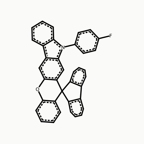 Fc1ccc(-n2c3ccccc3c3cc4c(cc32)C2(c3ccccc3O4)c3ccccc3-c3ccccc32)cc1